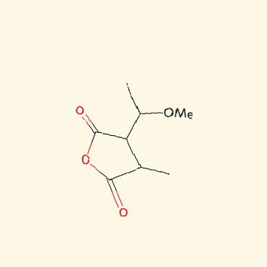 COC(C)C1C(=O)OC(=O)C1C